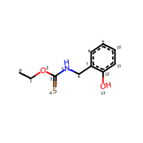 CCOC(=S)NCc1ccccc1O